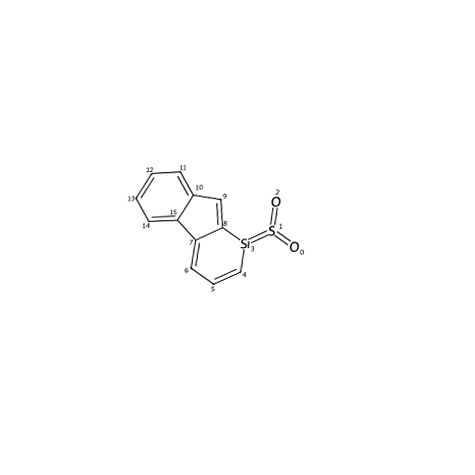 O=S(=O)=[Si]1C=CC=C2C1=Cc1ccccc12